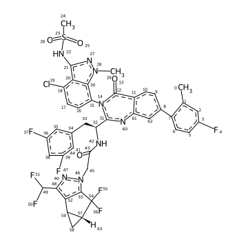 Cc1cc(F)ccc1-c1ccc2c(=O)n(-c3ccc(Cl)c4c(NS(C)(=O)=O)nn(C)c34)c([C@H](Cc3cc(F)cc(F)c3)NC(=O)Cn3nc(C(F)F)c4c3C(F)(F)[C@@H]3CC43)nc2c1